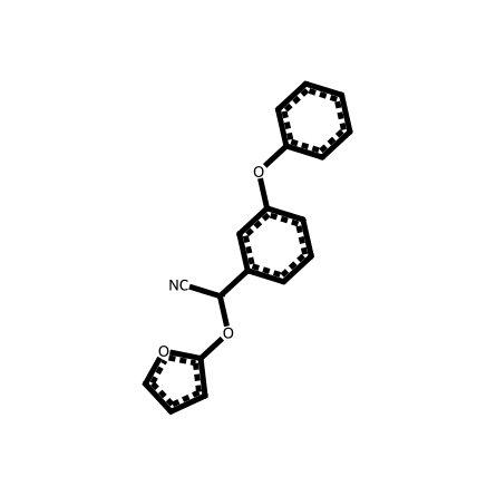 N#C[C](Oc1ccco1)c1cccc(Oc2ccccc2)c1